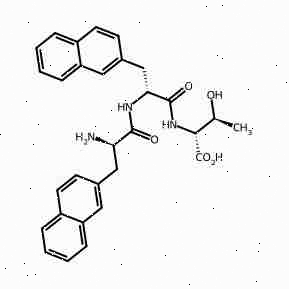 C[C@H](O)[C@@H](NC(=O)[C@@H](Cc1ccc2ccccc2c1)NC(=O)[C@H](N)Cc1ccc2ccccc2c1)C(=O)O